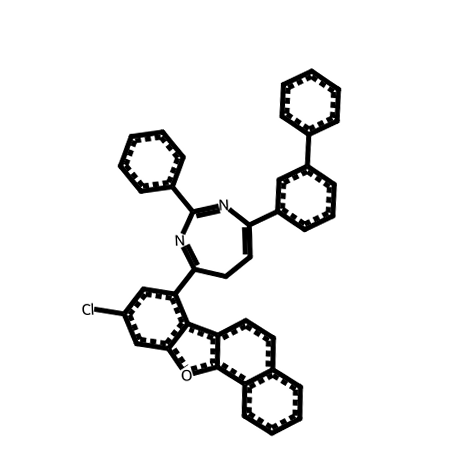 Clc1cc(C2=NC(c3ccccc3)=NC(c3cccc(-c4ccccc4)c3)=CC2)c2c(c1)oc1c3ccccc3ccc12